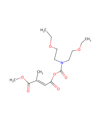 CCOCCN(CCOCC)C(=O)OC(=O)/C=C(\C)C(=O)OC